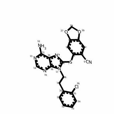 N#Cc1cc2c(cc1Sc1nc3c(N)ncnc3n1CCc1ccccc1Cl)OCO2